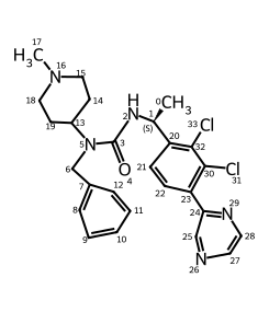 C[C@H](NC(=O)N(Cc1ccccc1)C1CCN(C)CC1)c1ccc(-c2cnccn2)c(Cl)c1Cl